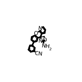 N#Cc1cccc(-c2ccc3c(c2)[C@]2(COC(N)=N2)c2cccnc2O3)c1